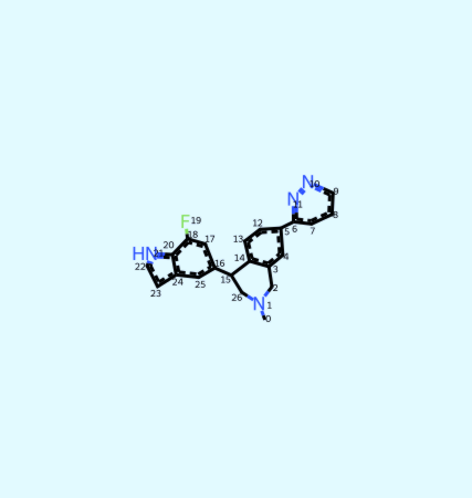 CN1Cc2cc(-c3cccnn3)ccc2C(c2cc(F)c3[nH]ccc3c2)C1